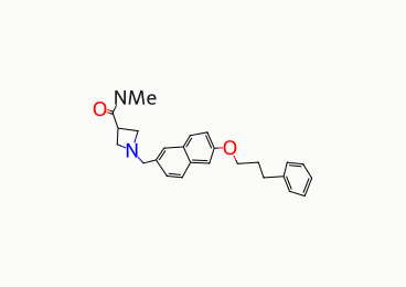 CNC(=O)C1CN(Cc2ccc3cc(OCCCc4ccccc4)ccc3c2)C1